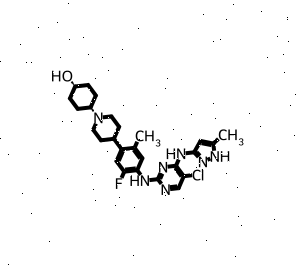 Cc1cc(Nc2nc(Nc3cc(C)c(C4CCN([C@H]5CC[C@@H](O)CC5)CC4)cc3F)ncc2Cl)n[nH]1